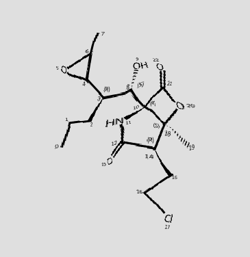 CCC[C@@H](C1OC1C)[C@H](O)[C@@]12NC(=O)[C@H](CCCl)[C@]1(C)OC2=O